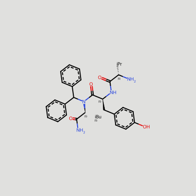 CC[C@H](C)[C@@H](C(N)=O)N(C(=O)[C@H](Cc1ccc(O)cc1)NC(=O)[C@@H](N)C(C)C)C(c1ccccc1)c1ccccc1